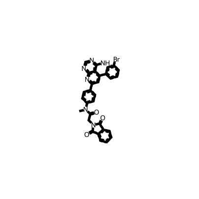 CN(C(=O)CN1C(=O)c2ccccc2C1=O)c1ccc(-c2cc(-c3cccc(Br)c3)c3c(N)ncnc3n2)cc1